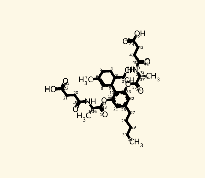 C=C(C)C1CCC(C)=CC1c1c(OC(=O)[C@H](C)NC(=O)CCC(=O)O)cc(CCCCC)cc1OC(=O)[C@H](C)NC(=O)CCC(=O)O